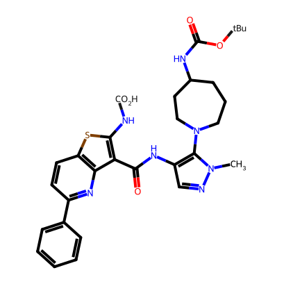 Cn1ncc(NC(=O)c2c(NC(=O)O)sc3ccc(-c4ccccc4)nc23)c1N1CCCC(NC(=O)OC(C)(C)C)CC1